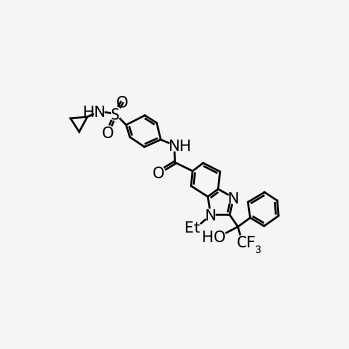 CCn1c(C(O)(c2ccccc2)C(F)(F)F)nc2ccc(C(=O)Nc3ccc(S(=O)(=O)NC4CC4)cc3)cc21